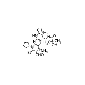 CCC1C(C=O)N(C)c2cnc(NC(C)C3CCN(C(=O)C(C)(C)O)CC3)nc2N1C1CCCC1